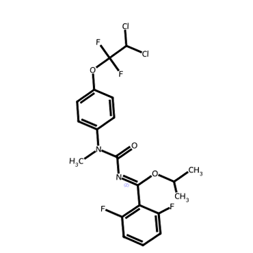 CC(C)O/C(=N\C(=O)N(C)c1ccc(OC(F)(F)C(Cl)Cl)cc1)c1c(F)cccc1F